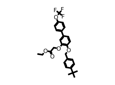 CCOC(=O)COc1cc(-c2ccc(OC(F)(F)F)cc2)ccc1OCc1ccc(C(C)(C)C)cc1